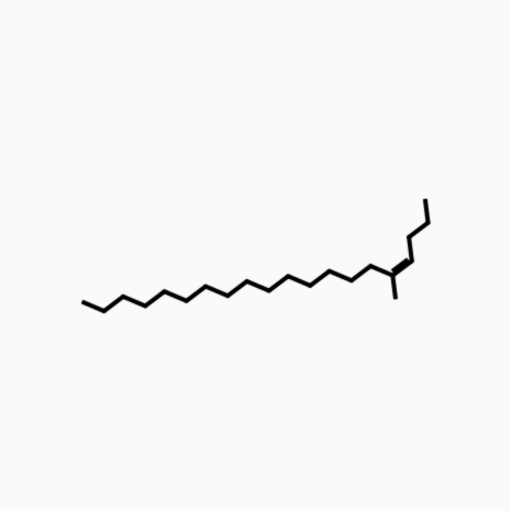 CCCC=C(C)CCCCCCCCCCCCCCC